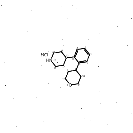 Cl.c1ccc(C2CCOCC2)c(C2CCNCC2)c1